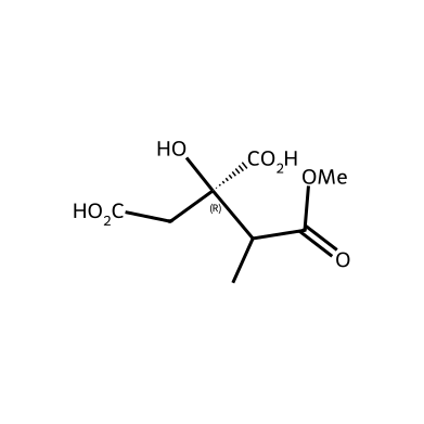 COC(=O)C(C)[C@](O)(CC(=O)O)C(=O)O